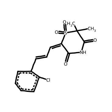 CC1(C)C(=O)NC(=O)/C(=C\C=C\c2ccccc2Cl)S1(=O)=O